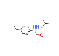 CCCc1ccc(C(C=O)NCC(C)C)cc1